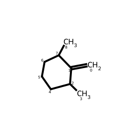 C=C1C(C)CCCC1C